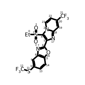 CCS(=O)(=O)c1c(-c2nc3cc(SC(F)(F)F)ccc3o2)nc2cc(C(F)(F)F)ccn12